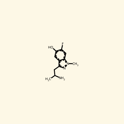 CC(N)Cc1nn(C)c2cc(F)c(O)cc12